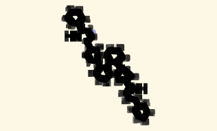 N=C(/C=C\Cc1ccc(-c2ccccc2-c2ccccc2-c2ccc(C(=N)/C=C\CC3=CCCC=C3)cc2)cc1)c1ccccc1